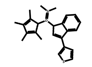 CC1=C(C)[CH]([Zr]([CH]2C=C(c3ccsc3)c3ccccc32)=[Si](C)C)C(C)=C1C